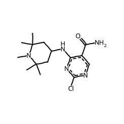 CN1C(C)(C)CC(Nc2nc(Cl)ncc2C(N)=O)CC1(C)C